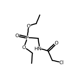 CCOP(=O)(CNC(=O)CCl)OCC